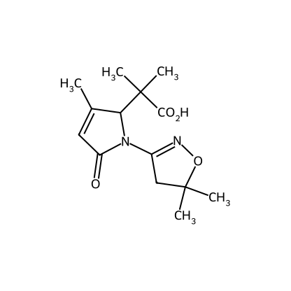 CC1=CC(=O)N(C2=NOC(C)(C)C2)C1C(C)(C)C(=O)O